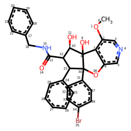 COc1cncc2c1C1(O)[C@H](O)C(C(=O)NCc3ccccc3)C(c3ccccc3)C1(c1ccc(Br)cc1)O2